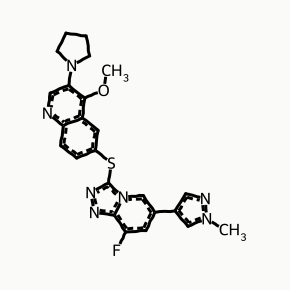 COc1c(N2CCCC2)cnc2ccc(Sc3nnc4c(F)cc(-c5cnn(C)c5)cn34)cc12